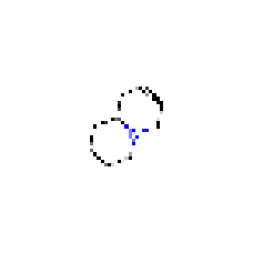 C1=CCN2CCCCC2C1